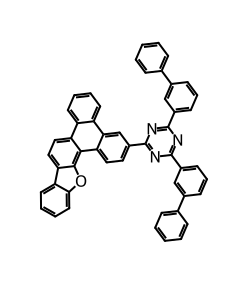 c1ccc(-c2cccc(-c3nc(-c4cccc(-c5ccccc5)c4)nc(-c4ccc5c(c4)c4ccccc4c4ccc6c7ccccc7oc6c45)n3)c2)cc1